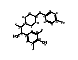 Cc1cc(C(O)C(C)N2CCC(Cc3ccc(F)cc3)CC2)cc(C)c1O